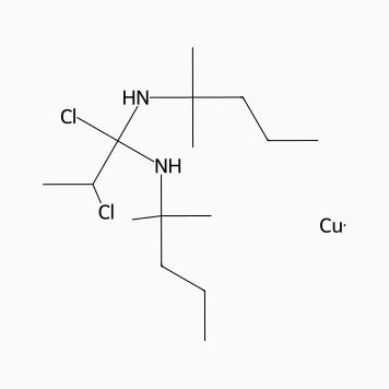 CCCC(C)(C)NC(Cl)(NC(C)(C)CCC)C(C)Cl.[Cu]